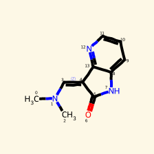 CN(C)/C=C1\C(=O)Nc2cccnc21